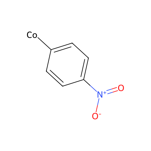 O=[N+]([O-])c1cc[c]([Co])cc1